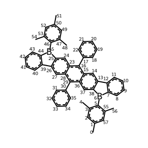 Cc1cc(C)c(B2c3ccccc3-c3cc4c(-c5ccccc5)c5cc6c(cc5c(-c5ccccc5)c4cc32)-c2ccccc2B6c2c(C)cc(C)cc2C)c(C)c1